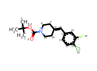 CC(C)(C)OC(=O)N1CCC(=Cc2ccc(Cl)c(F)c2)CC1